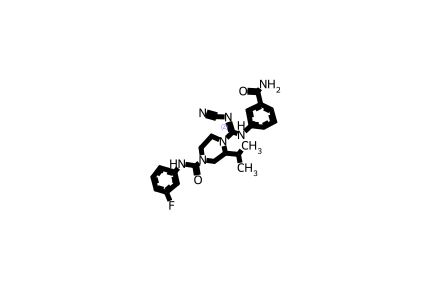 CC(C)C1CN(C(=O)Nc2cccc(F)c2)CCN1/C(=N\C#N)Nc1cccc(C(N)=O)c1